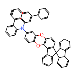 c1cccc(-c2ccccc2N(c2cccc(-c3ccccc3)c2)c2ccc3c(c2)Oc2ccc4c(c2O3)-c2ccccc2C42C3=CCCC=C3C3C=CC=CC32)c#1